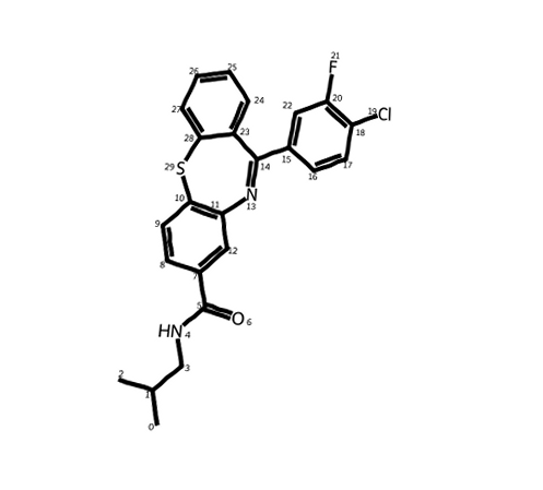 CC(C)CNC(=O)c1ccc2c(c1)N=C(c1ccc(Cl)c(F)c1)c1ccccc1S2